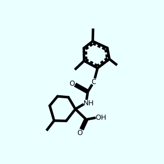 Cc1cc(C)c(CC(=O)NC2(C(=O)O)CCCC(C)C2)c(C)c1